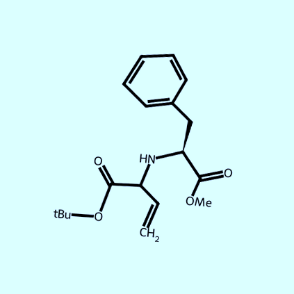 C=CC(N[C@@H](Cc1ccccc1)C(=O)OC)C(=O)OC(C)(C)C